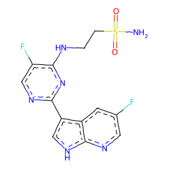 NS(=O)(=O)CCNc1nc(-c2c[nH]c3ncc(F)cc23)ncc1F